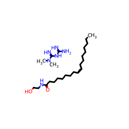 CCCCCCCC/C=C\CCCCCCCC(=O)NCCO.CN(C)C(=N)NC(=N)N